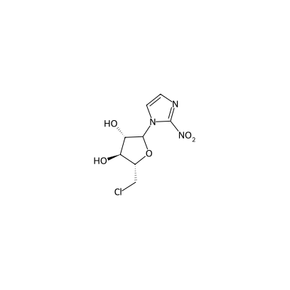 O=[N+]([O-])c1nccn1C1O[C@H](CCl)[C@@H](O)[C@@H]1O